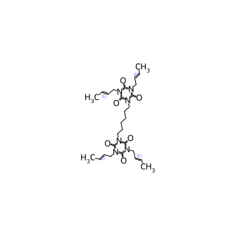 C/C=C/Cn1c(=O)n(C/C=C/C)c(=O)n(CCCCCCn2c(=O)n(C/C=C/C)c(=O)n(C/C=C/C)c2=O)c1=O